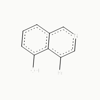 Oc1cccc2cncc(Br)c12